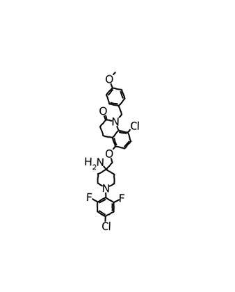 COc1ccc(CN2C(=O)CCc3c(OCC4(N)CCN(c5c(F)cc(Cl)cc5F)CC4)ccc(Cl)c32)cc1